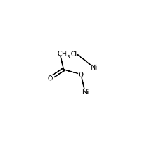 CC(=O)[O][Ni].[Cl][Ni]